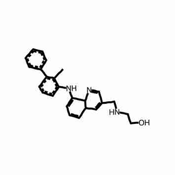 Cc1c(NC2=CC=CC3C=C(CNCCO)C=NC23)cccc1-c1ccccc1